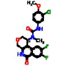 COc1ccc(NC(=O)N(C)[C@@H]2COCc3[nH]c(=O)c4cc(F)c(F)cc4c32)cc1Cl